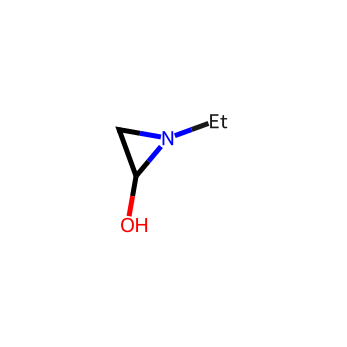 CCN1CC1O